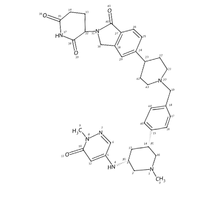 CN1C[C@H](Nc2cnn(C)c(=O)c2)C[C@H](c2ccc(CN3CCC(c4ccc5c(c4)CN(C4CCC(=O)NC4=O)C5=O)CC3)cc2)C1